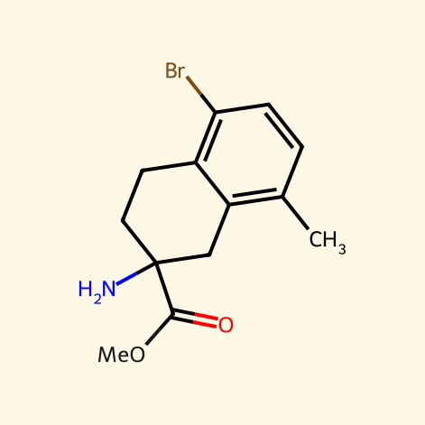 COC(=O)C1(N)CCc2c(Br)ccc(C)c2C1